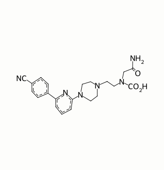 N#Cc1ccc(-c2cccc(N3CCN(CCN(CC(N)=O)C(=O)O)CC3)n2)cc1